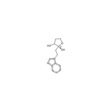 OC1CCO[C@]1(O)CCn1cnc2ccccc21